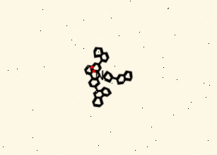 c1ccc(-c2ccc(-c3cc4ccccc4c4ccccc34)cc2N(c2ccc(-c3ccc4ccccc4c3)cc2)c2cccc(-c3cccc4ccccc34)c2)cc1